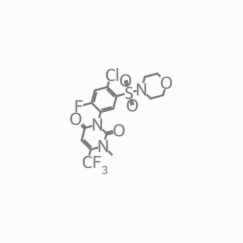 Cn1c(C(F)(F)F)cc(=O)n(-c2cc(S(=O)(=O)N3CCOCC3)c(Cl)cc2F)c1=O